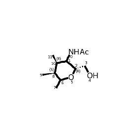 CC(=O)NC1[C@H](CO)OC(C)[C@@H](C)[C@H]1C